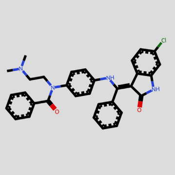 CN(C)CCN(C(=O)c1ccccc1)c1ccc(NC(=C2C(=O)Nc3cc(Cl)ccc32)c2ccccc2)cc1